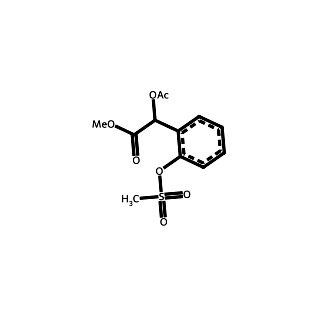 COC(=O)C(OC(C)=O)c1ccccc1OS(C)(=O)=O